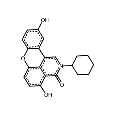 O=c1c2c(O)ccc3c2c(cn1C1CCCCC1)-c1cc(O)ccc1O3